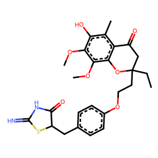 CCC1(CCOc2ccc(CC3SC(=N)NC3=O)cc2)CC(=O)c2c(C)c(O)c(OC)c(OC)c2O1